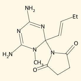 CCC=CC1(N2C(=O)CCC2=O)N=C(N)N=C(N)N1C